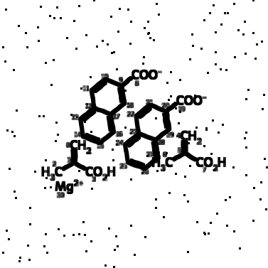 C=C(C)C(=O)O.C=C(C)C(=O)O.O=C([O-])c1ccc2ccccc2c1.O=C([O-])c1ccc2ccccc2c1.[Mg+2]